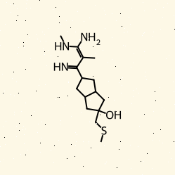 CN/C(N)=C(/C)C(=N)C1CC2CC(O)(CSC)CC2C1